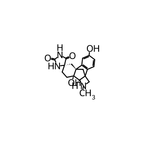 CN1CC23C[C@@]4(C[C@]5(CC[C@@]4(O)[C@H]12)NC(=O)NC5=O)c1cc(O)ccc13